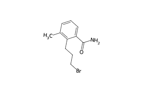 Cc1cccc(C(N)=O)c1CCCBr